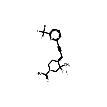 CC1(C)CN(C(=O)O)CC/C1=C\C#Cc1cccc(C(F)(F)F)n1